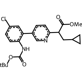 COC(=O)C(CC1CC1)c1ccc(-c2cc(Cl)ccc2NC(=O)OC(C)(C)C)cn1